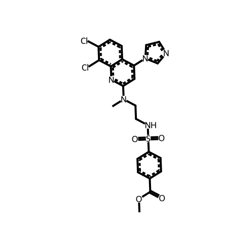 COC(=O)c1ccc(S(=O)(=O)NCCN(C)c2cc(-n3ccnc3)c3ccc(Cl)c(Cl)c3n2)cc1